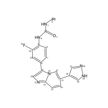 CC(C)NC(=O)Nc1ccc(-c2cnc3ccc(-c4cn[nH]c4)cn23)cc1F